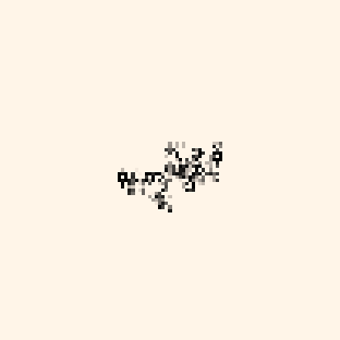 COc1ccc(C[C@@H](NC(=O)C(CC(=O)O)NC(=O)[C@H](NC(=O)[C@H](CCCC(=O)O)NC(=O)[C@H](CCCCNC(N)=O)NC(=O)Cc2ccc(NC(=O)Nc3ccccc3C)cc2)C2CCCCC2)C(N)=O)cc1